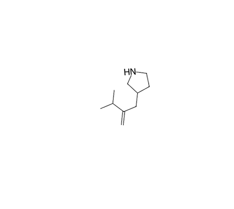 C=C(CC1CCNC1)C(C)C